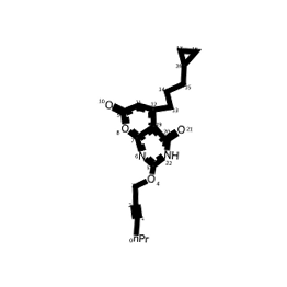 CCCC#CCOc1nc2oc(=O)cc(CCCC3CC3)c2c(=O)[nH]1